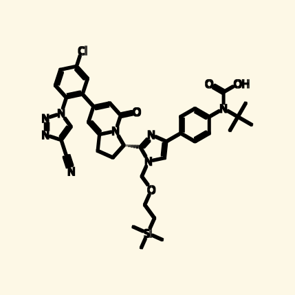 CC(C)(C)N(C(=O)O)c1ccc(-c2cn(COCC[Si](C)(C)C)c([C@@H]3CCc4cc(-c5cc(Cl)ccc5-n5cc(C#N)nn5)cc(=O)n43)n2)cc1